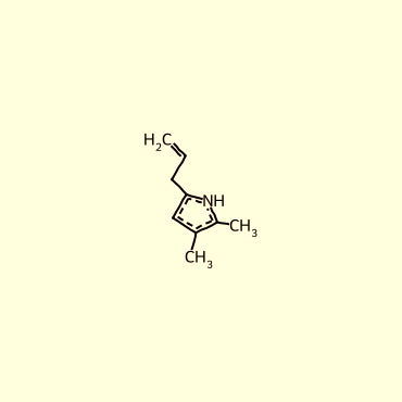 C=CCc1cc(C)c(C)[nH]1